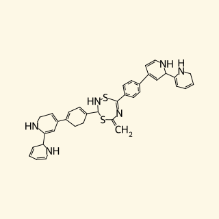 C=C1N=C(c2ccc(C3=CC(C4=CC=CCN4)NC=C3)cc2)SNC(C2=CC=C(C3=CCNC(C4C=CC=CN4)=C3)CC2)S1